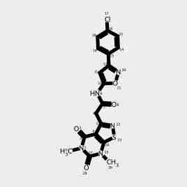 Cn1c(=O)c2c(CC(=O)Nc3cc(-c4ccc(Cl)cc4)no3)nsc2n(C)c1=O